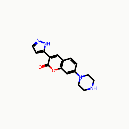 O=c1oc2cc(N3CCNCC3)ccc2cc1-c1ccn[nH]1